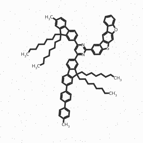 CCCCCCCCC1(CCCCCCCC)c2cc(C)ccc2-c2ccc(-c3cc(-c4ccc5c(c4)C(CCCCCCCC)(CCCCCCCC)c4cc(-c6ccc(-c7ccc(C)cc7)cc6)ccc4-5)nc(-c4ccc5sc6cc7oc8ccccc8c7cc6c5c4)n3)cc21